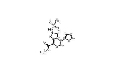 COC(=O)C1=C2CC(NS(C)(=O)=O)CN2C(C2=NC=CC2)=NC1